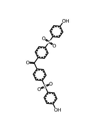 O=C(c1ccc(S(=O)(=O)c2ccc(O)cc2)cc1)c1ccc(S(=O)(=O)c2ccc(O)cc2)cc1